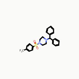 O=S(=O)(c1ccc(C(F)(F)F)cc1)N1CCN(C(c2ccccc2)c2ccccc2)CC1